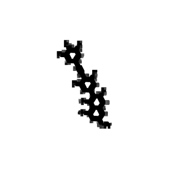 CCCc1cc(F)c2c(F)c(-c3cc(F)c(C#Cc4cc(F)c(F)c(F)c4)c(F)c3)c(F)cc2c1